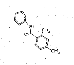 Cc1ccc(C(=O)Pc2ccccc2)c(C)c1